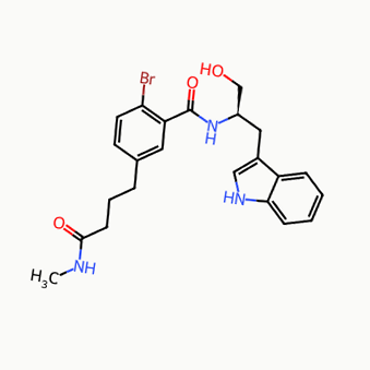 CNC(=O)CCCc1ccc(Br)c(C(=O)N[C@@H](CO)Cc2c[nH]c3ccccc23)c1